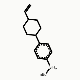 C=CC1CCC(c2ccc([SiH2]CCCC)cc2)CC1